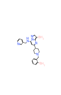 Bc1ccccc1CN1CCC(c2cc(NCc3cccnc3)n3ncc(B)c3n2)CC1